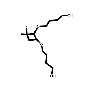 OCCCCOC1CC(F)(F)C1OCCCCO